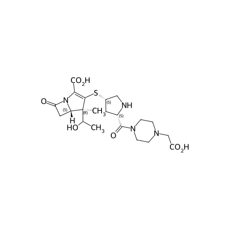 CC(O)[C@]1(C)C(S[C@@H]2CN[C@H](C(=O)N3CCN(CC(=O)O)CC3)C2)=C(C(=O)O)N2C(=O)C[C@H]21